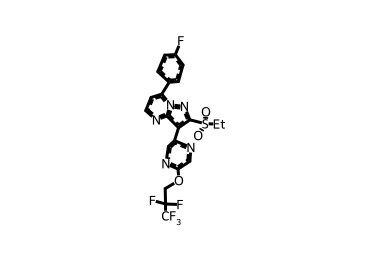 CCS(=O)(=O)c1nn2c(-c3ccc(F)cc3)ccnc2c1-c1cnc(OCC(F)(F)C(F)(F)F)cn1